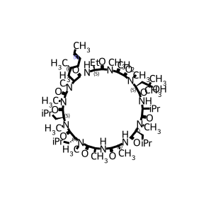 C=C1C(=O)N(C)[C@@H](CC(C)(C)O)C(=O)NC(C(C)C)C(=O)N(C)[C@@H](CC(C)C)C(=O)N[C@@H](C)C(=O)NC(C)C(=O)N(C)[C@H](CC(C)C)C(=O)N(C)[C@@H](CC(C)C)C(=O)N(C)C(=O)N(C)C(C[C@H](C)C/C=C/C)C(=O)N[C@@H](CC)C(=O)N1C